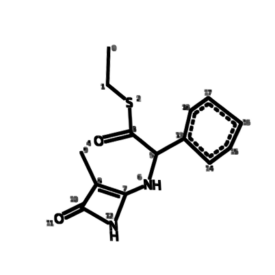 CCSC(=O)C(NC1=C(C)C(=O)N1)c1ccccc1